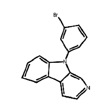 Brc1cccc(-n2c3ccccc3c3ccncc32)c1